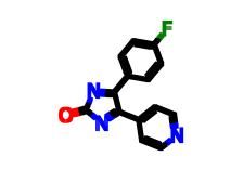 O=C1N=C(c2ccncc2)C(c2ccc(F)cc2)=N1